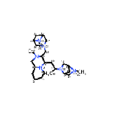 CCN1CC2CCCCN2C(CC(C)N2CC3CC2CN3C)C1CN1CC2CC(C1)N2C(C)C